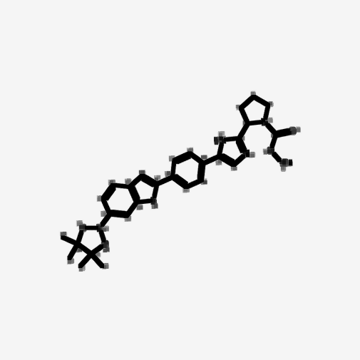 CC(C)(C)OC(=O)N1CCCC1c1ncc(-c2ccc(-c3cc4ccc(B5OC(C)(C)C(C)(C)O5)cc4s3)cc2)[nH]1